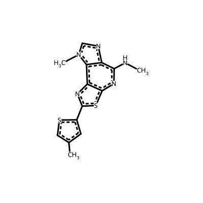 CNc1nc2sc(-c3cc(C)cs3)nc2c2c1ncn2C